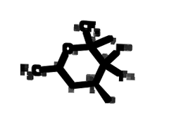 C[C@H]1CC(C(F)(F)F)OC(C)(C(F)(F)F)C1(F)F